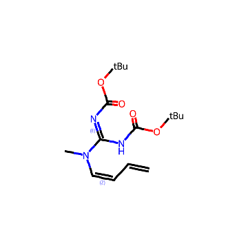 C=C/C=C\N(C)/C(=N/C(=O)OC(C)(C)C)NC(=O)OC(C)(C)C